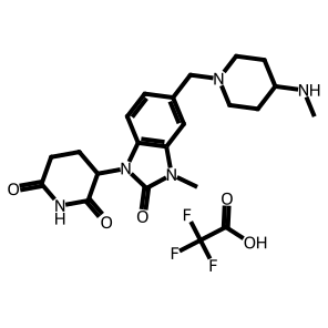 CNC1CCN(Cc2ccc3c(c2)n(C)c(=O)n3C2CCC(=O)NC2=O)CC1.O=C(O)C(F)(F)F